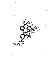 C=C/C(=C\C1=C(C)OCO1)N(C)C(=O)c1cccc(-n2nc(C(F)(F)F)c3c2CCN(C(=O)CC(=O)O)C3)c1